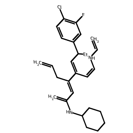 C=CCC(=C\C(=C)NC1CCCCC1)/C(/C=C\NC=C)=C/C(CC)c1ccc(Cl)c(F)c1